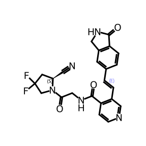 N#C[C@@H]1CC(F)(F)CN1C(=O)CNC(=O)c1ccncc1/C=C/c1ccc2c(c1)CNC2=O